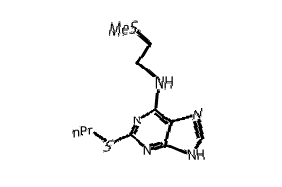 CCCSc1nc(NCCSC)c2nc[nH]c2n1